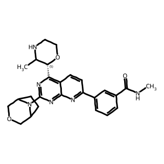 CNC(=O)c1cccc(-c2ccc3c([C@H]4OCCNC4C)nc(N4C5CCC4COC5)nc3n2)c1